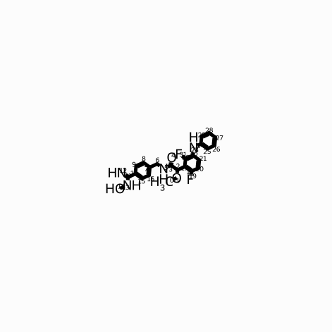 COC(C(=O)NCc1ccc(C(=N)NO)cc1)c1c(F)ccc(Nc2ccccc2)c1F